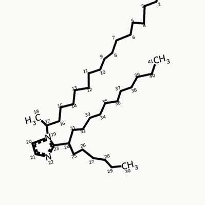 CCCCCCCCCCCCCCCCCC(C)n1ccnc1C(CCCCCC)CCCCCCCCCCC